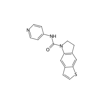 O=C(Nc1ccncc1)N1CCc2cc3sccc3cc21